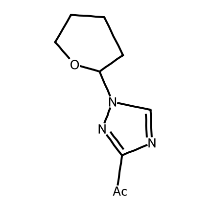 CC(=O)c1ncn(C2CCCCO2)n1